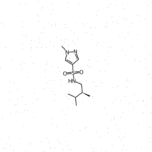 CC(C)[C@H](C)CNS(=O)(=O)c1cnn(C)c1